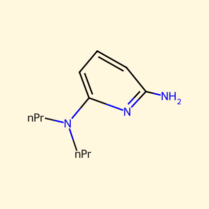 CCCN(CCC)c1cccc(N)n1